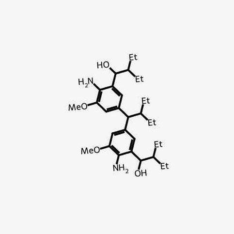 CCC(CC)C(O)c1cc(C(c2cc(OC)c(N)c(C(O)C(CC)CC)c2)C(CC)CC)cc(OC)c1N